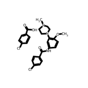 COc1ccc(NC(=O)c2ccc(Cl)cc2)cc1N1CCN(C)CC1.O=C(O)c1ccc(Cl)cc1